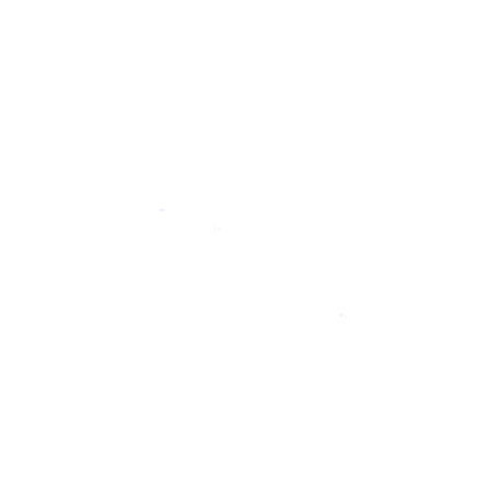 CN(C)S(=O)(=O)c1ccc(S(=O)(=O)Nc2ccccc2N2CCCCC2)s1